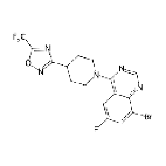 Fc1cc(Br)c2ncnc(N3CCC(c4noc(C(F)(F)F)n4)CC3)c2c1